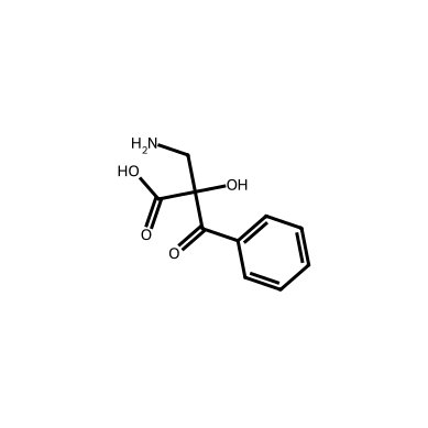 NCC(O)(C(=O)O)C(=O)c1ccccc1